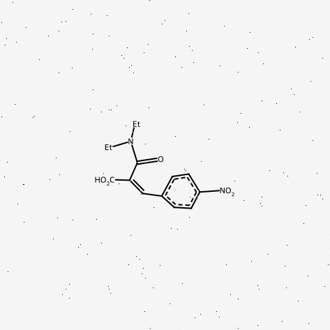 CCN(CC)C(=O)C(=Cc1ccc([N+](=O)[O-])cc1)C(=O)O